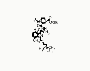 Cc1cccc2c(C(C)(C)NC(=O)[C@@H]3CN(C(=O)OC(C)(C)C)CCN3CC(F)(F)F)nn(COCC[Si](C)(C)C)c12